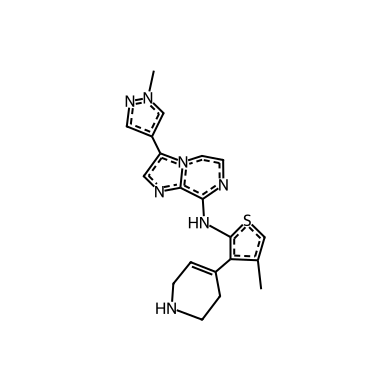 Cc1csc(Nc2nccn3c(-c4cnn(C)c4)cnc23)c1C1=CCNCC1